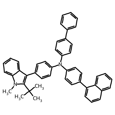 Cn1c(C(C)(C)C)c(-c2ccc(N(c3ccc(-c4ccccc4)cc3)c3ccc(-c4cccc5ccccc45)cc3)cc2)c2ccccc21